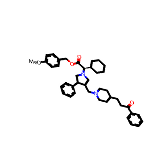 COc1ccc(COC(=O)[C@@H](C2CCCCC2)N2CC(CN3CCC(CCC(=O)c4ccccc4)CC3)C(c3ccccc3)C2)cc1